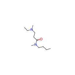 CCCCN(C)C(=O)CCN(C)CC